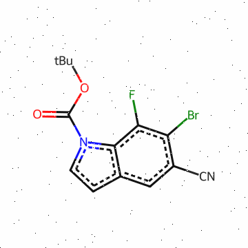 CC(C)(C)OC(=O)n1ccc2cc(C#N)c(Br)c(F)c21